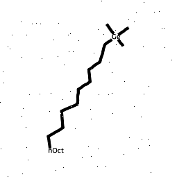 [CH2]CCCCCCCCCCCCCCC[CH2][Ge]([CH3])([CH3])[CH3]